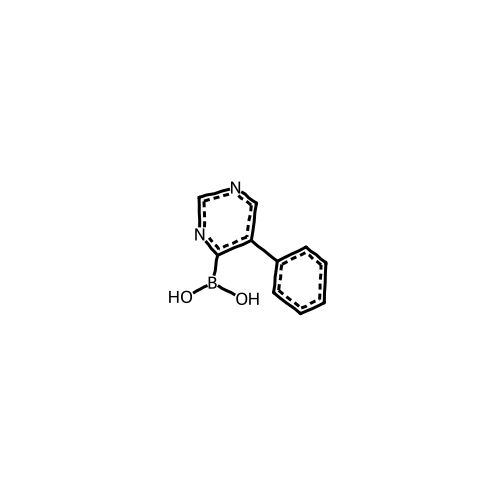 OB(O)c1ncncc1-c1ccccc1